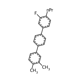 CCCc1ccc(-c2ccc(-c3ccc(C)c(C)c3)cc2)cc1F